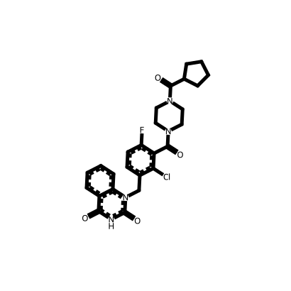 O=C(c1c(F)ccc(Cn2c(=O)[nH]c(=O)c3ccccc32)c1Cl)N1CCN(C(=O)C2CCCC2)CC1